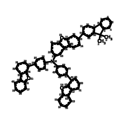 CC1(C)c2ccccc2-c2ccc(-c3ccc4c(c3)oc3ccc(N(c5ccc(-c6cccc7c6oc6ccccc67)cc5)c5ccc(-c6cccc7c6oc6ccccc67)cc5)cc34)cc21